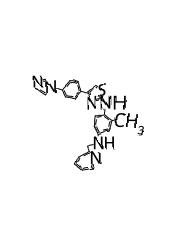 Cc1cc(NCc2ccccn2)ccc1Nc1nc(-c2ccc(-n3ccnc3)cc2)cs1